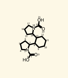 O=C(O)N1CCCC1C1CCCCC1C1CCCN1C(=O)O